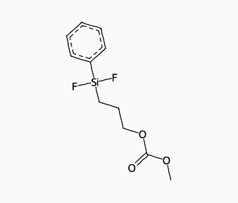 COC(=O)OCCC[Si](F)(F)c1ccccc1